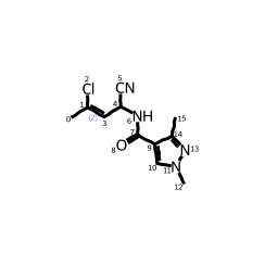 C/C(Cl)=C/C(C#N)NC(=O)c1cn(C)nc1C